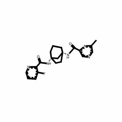 Cc1cncc(C(=O)N[C@]23CCC[C@](NC(=O)c4ncccc4F)(CC2)C3)n1